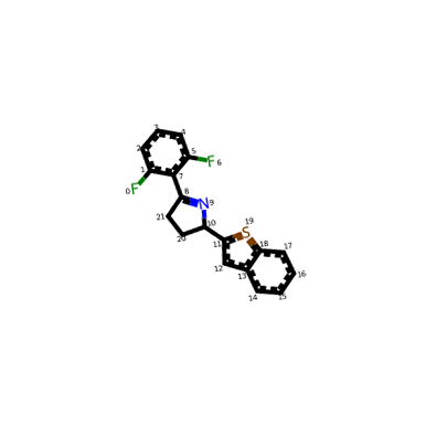 Fc1cccc(F)c1C1=NC(c2cc3ccccc3s2)CC1